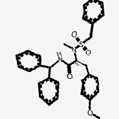 COc1ccc(C[C@@H](C(=O)NC(c2ccccc2)c2ccccc2)N(C)S(=O)(=O)Cc2ccccc2)cc1